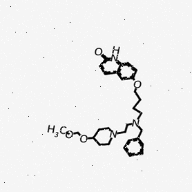 COCOC1CCN(CCN(CCCCOc2ccc3[nH]c(=O)ccc3c2)Cc2ccccc2)CC1